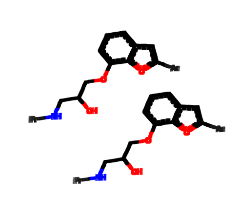 CC(=O)c1cc2cccc(OCC(O)CNC(C)C)c2o1.CC(=O)c1cc2cccc(OCC(O)CNC(C)C)c2o1